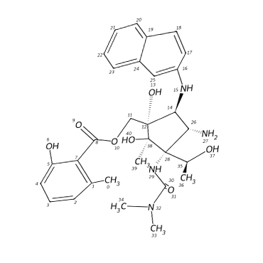 Cc1cccc(O)c1C(=O)OC[C@@]1(O)[C@@H](Nc2ccc3ccccc3c2)[C@H](N)[C@@](NC(=O)N(C)C)([C@H](C)O)[C@@]1(C)O